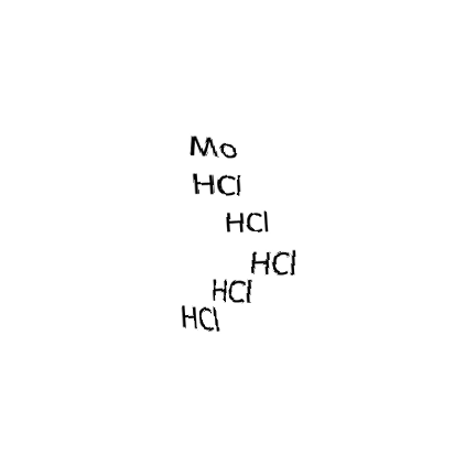 Cl.Cl.Cl.Cl.Cl.[Mo]